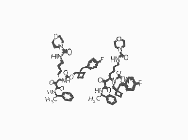 C[C@@H](NC(=O)C(=O)C(CCCCNC(=O)N1CCOCC1)N(CC1(Cc2ccc(F)cc2)CCC1)C(=O)O)c1ccccc1.C[C@@H](NC(=O)C(=O)[C@H](CCCCNC(=O)N1CCOCC1)NC(=O)OCC1(Cc2ccc(F)cc2)CCC1)c1ccccc1